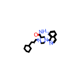 NC(=O)C1CN(c2nccc3ccccc23)CCN1C[CH]CC1CCCCC1